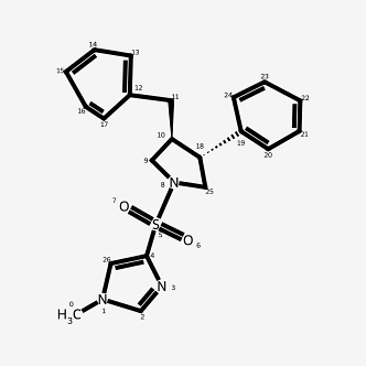 Cn1cnc(S(=O)(=O)N2C[C@@H](Cc3ccccc3)[C@H](c3ccccc3)C2)c1